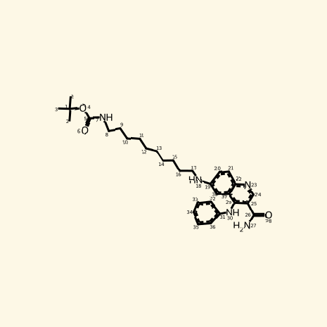 CC(C)(C)OC(=O)NCCCCCCCCCCNc1ccc2ncc(C(N)=O)c(Nc3ccccc3)c2c1